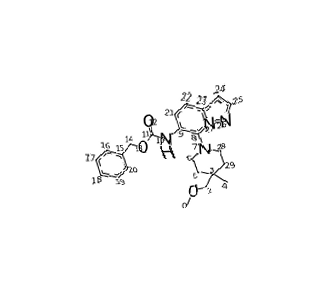 COCC1(C)CCN(c2c(NC(=O)OCc3ccccc3)ccc3ccnn23)CC1